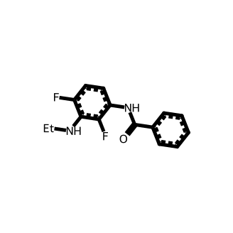 CCNc1c(F)ccc(NC(=O)c2ccccc2)c1F